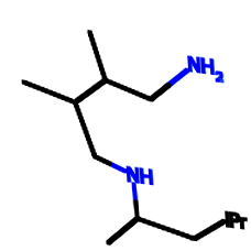 CC(C)CC(C)NCC(C)C(C)CN